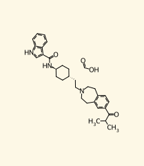 CC(C)C(=O)c1ccc2c(c1)CCN(CC[C@H]1CC[C@H](NC(=O)c3c[nH]c4ccccc34)CC1)CC2.O=CO